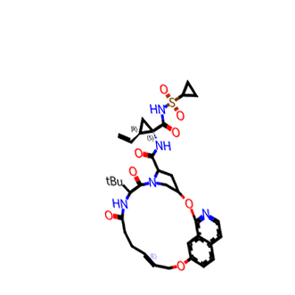 C=C[C@H]1C[C@@]1(NC(=O)C1CC2CN1C(=O)C(C(C)(C)C)NC(=O)CC/C=C/COc1ccc3ccnc(c3c1)O2)C(=O)NS(=O)(=O)C1CC1